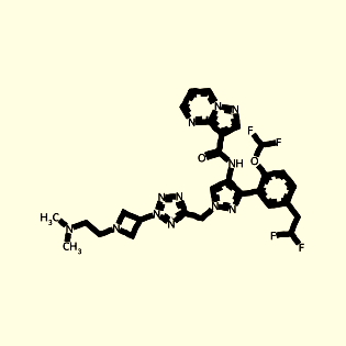 CN(C)CCN1CC(n2nnc(Cn3cc(NC(=O)c4cnn5cccnc45)c(-c4cc(CC(F)F)ccc4OC(F)F)n3)n2)C1